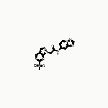 CS(=O)(=O)c1ncc2cnn(CC(=O)Nc3ccn4ncnc4c3)c2n1